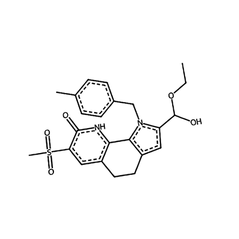 CCOC(O)c1cc2c(n1Cc1ccc(C)cc1)-c1[nH]c(=O)c(S(C)(=O)=O)cc1CC2